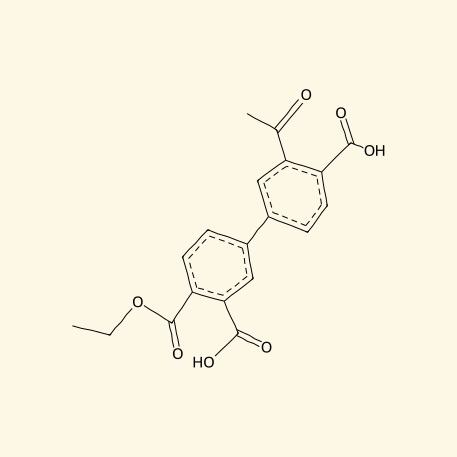 CCOC(=O)c1ccc(-c2ccc(C(=O)O)c(C(C)=O)c2)cc1C(=O)O